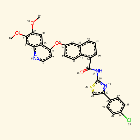 COc1cc2nccc(Oc3ccc4c(C(=O)Nc5nc(-c6ccc(Cl)cc6)cs5)cccc4c3)c2cc1OC